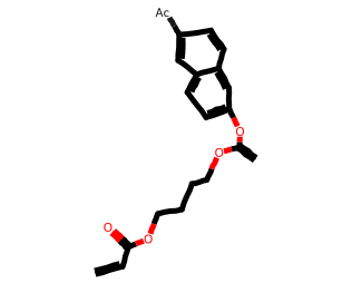 C=CC(=O)OCCCCOC(=C)Oc1ccc2cc(C(C)=O)ccc2c1